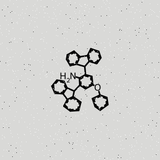 Nc1c(C2c3ccccc3-c3ccccc32)cc(Oc2ccccc2)cc1C1c2ccccc2-c2ccccc21